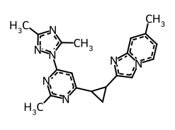 Cc1ccn2cc(C3CC3c3cc(-n4nc(C)nc4C)nc(C)n3)nc2c1